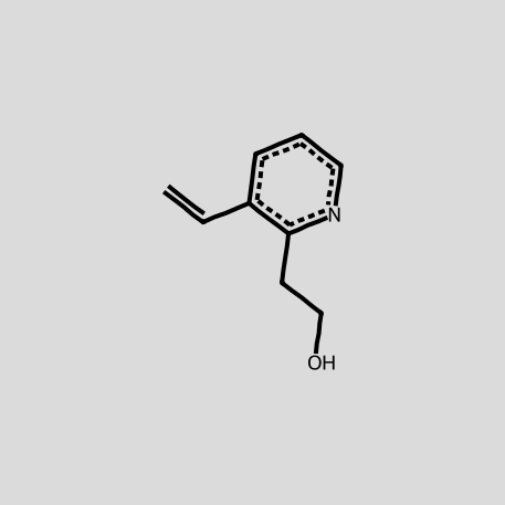 C=Cc1cccnc1CCO